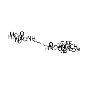 C[C@H](N(Cc1ccc(F)cc1)C(=O)CN1C(=O)O[C@@]2(CCc3cc(NC(=O)CCCCCCCCCCCNc4ccc5c(c4)C(=O)N(C4CCC(=O)NC4=O)C5=O)ccc32)C1=O)C(F)(F)F